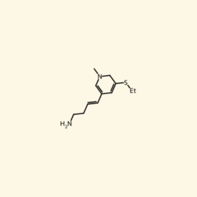 CCSC1=CC(/C=C/CCN)=CN(C)C1